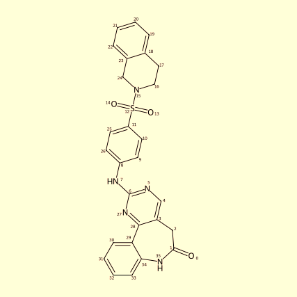 O=C1Cc2cnc(Nc3ccc(S(=O)(=O)N4CCc5ccccc5C4)cc3)nc2-c2ccccc2N1